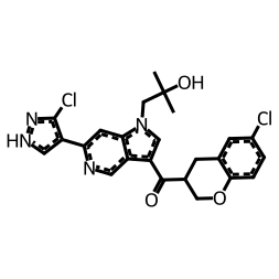 CC(C)(O)Cn1cc(C(=O)C2COc3ccc(Cl)cc3C2)c2cnc(-c3c[nH]nc3Cl)cc21